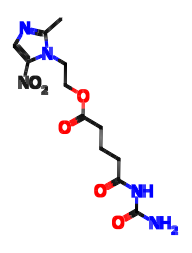 Cc1ncc([N+](=O)[O-])n1CCOC(=O)CCCC(=O)NC(N)=O